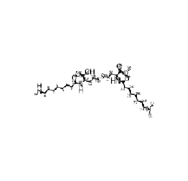 CNCCCCCCCC(=O)NC(CCSSCCC(NC(=O)CCCCCCCN(C)C)C(=O)OC)C(=O)O